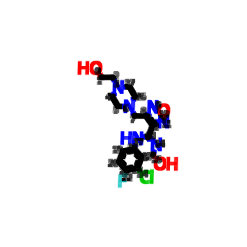 OCCN1CCN(Cc2nonc2/C(=N/CO)Nc2ccc(F)c(Cl)c2)CC1